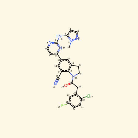 Cn1nccc1Nc1nccc(-c2cc(C#N)c3c(c2)CCN3C(=O)Cc2cc(F)ccc2Cl)n1